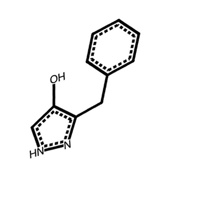 Oc1c[nH]nc1Cc1ccccc1